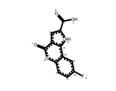 O=C(O)c1cc2c(=O)oc3ccc(F)cc3c2[nH]1